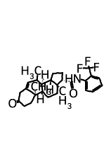 CC1C=C2CC(=O)CC[C@]2(C)[C@H]2CC[C@]3(C)[C@@H](C(=O)Nc4ccccc4C(F)(F)F)CC[C@H]3[C@H]12